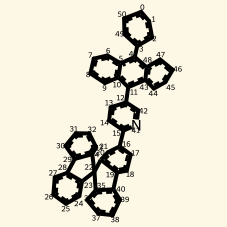 c1ccc(-c2c3ccccc3c(-c3ccc(-c4ccc5c(c4)C4(c6ccccc6-c6ccccc64)c4ccccc4-5)nc3)c3ccccc23)cc1